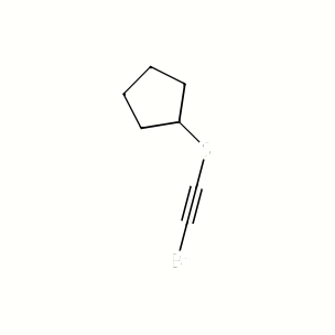 BrC#CSC1CCCC1